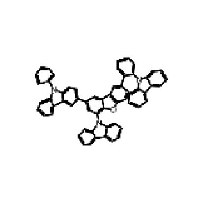 c1ccc(-n2c3ccccc3c3cc(-c4cc(-n5c6ccccc6c6ccccc65)c5oc6ccc(-c7ccccc7-n7c8ccccc8c8ccccc87)cc6c5c4)ccc32)cc1